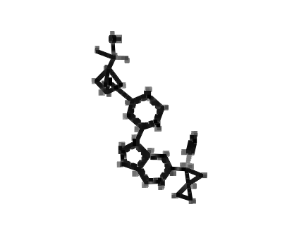 CC(C)(O)C12CC(C1)N(c1cc(-n3ncc4cnc([C@@]5(C#N)CC56CC6)cc43)ncn1)C2